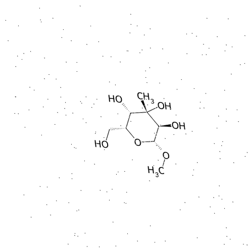 CO[C@@H]1O[C@H](CO)[C@H](O)[C@](C)(O)[C@H]1O